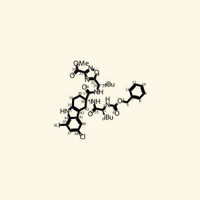 CCC(C)[C@H](NC(=O)OCc1ccccc1)C(=O)N[C@@]1(C(=O)N[C@H](c2nc(C(=O)OC)no2)C(C)CC)CCc2[nH]c3c(I)cc(Cl)cc3c2C1